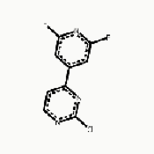 Fc1cc(-c2ccnc(Cl)n2)cc(F)n1